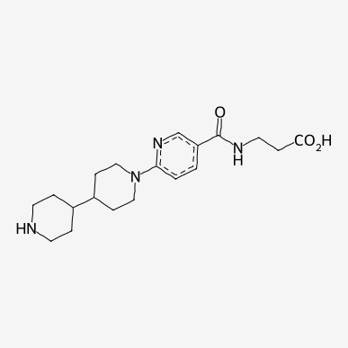 O=C(O)CCNC(=O)c1ccc(N2CCC(C3CCNCC3)CC2)nc1